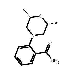 C[C@@H]1CN(c2ccccc2C(N)=O)C[C@H](C)O1